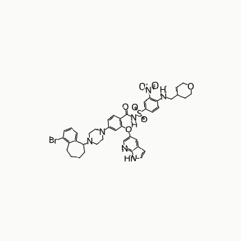 O=C(NS(=O)(=O)c1ccc(NCC2CCOCC2)c([N+](=O)[O-])c1)c1ccc(N2CCN(C3CCCCc4c(Br)cccc43)CC2)cc1Oc1cnc2[nH]ccc2c1